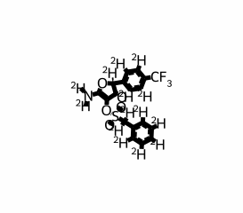 [2H]c1c([2H])c([2H])c(C([2H])([2H])S(=O)(=O)OC2=C(N([2H])[2H])O[C@@]([2H])(c3c([2H])c([2H])c(C(F)(F)F)c([2H])c3[2H])C2=O)c([2H])c1[2H]